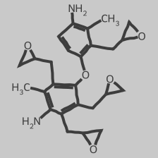 Cc1c(N)ccc(Oc2c(CC3CO3)c(C)c(N)c(CC3CO3)c2CC2CO2)c1CC1CO1